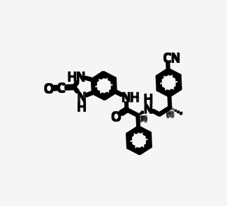 C[C@H](CN[C@@H](C(=O)Nc1ccc2c(c1)NC(=C=O)N2)c1ccccc1)c1ccc(C#N)cc1